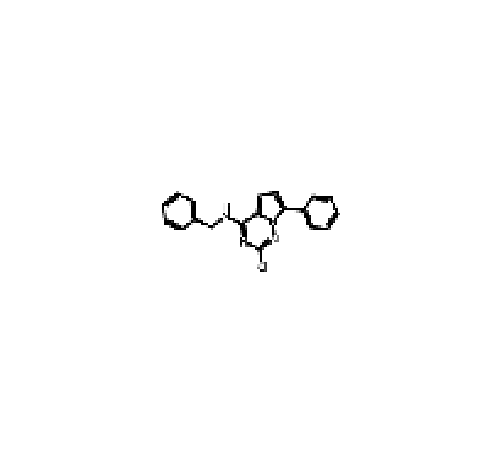 Clc1nc(NCc2ccccc2)c2ccc(-c3ccccc3)n2n1